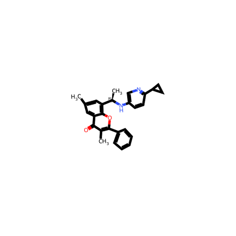 Cc1cc([C@@H](C)Nc2ccc(C3CC3)nc2)c2oc(-c3ccccc3)c(C)c(=O)c2c1